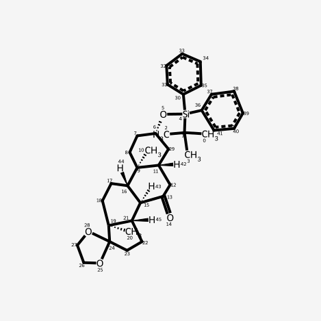 CC(C)(C)[Si](O[C@H]1CC[C@@]2(C)[C@@H](CC(=O)[C@@H]3[C@@H]2CC[C@@]2(C)[C@H]3CCC23OCCO3)C1)(c1ccccc1)c1ccccc1